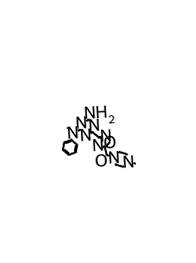 CN1CCN(C(=O)c2nc(-c3nc(N)nc(N(C)c4ccccc4)n3)no2)CC1